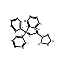 O=C(C=P(c1ccccc1)(c1ccccc1)c1ccccc1)C1CCCC1